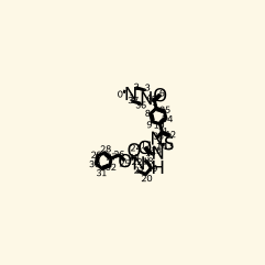 CN1CCN(C(=O)c2ccc(-c3csc(NC(=O)[C@@H]4CCCN4C(=O)OCc4ccccc4)n3)cc2)CC1